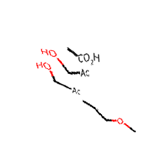 CC(=O)CO.CC(=O)CO.CC(=O)O.C[CH]COC